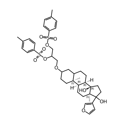 Cc1ccc(S(=O)(=O)OCC(COC2CC[C@@]3(C)C(CC[C@@H]4[C@H]3CC[C@]3(C)C(O)(c5ccoc5)CC[C@@]43O)C2)OS(=O)(=O)c2ccc(C)cc2)cc1